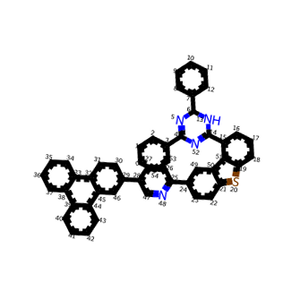 c1ccc(C2=NC(c3ccccc3)NC(c3cccc4sc5ccc(-c6ccc(-c7ccc8c9ccccc9c9ccccc9c8c7)cn6)cc5c34)=N2)cc1